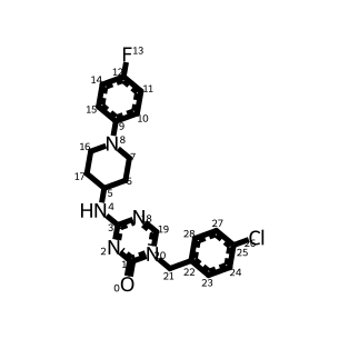 O=c1nc(NC2CCN(c3ccc(F)cc3)CC2)ncn1Cc1ccc(Cl)cc1